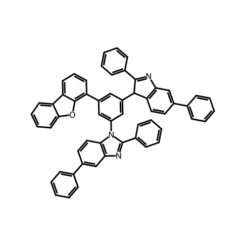 c1ccc(C2=Nc3cc(-c4ccccc4)ccc3C2c2cc(-c3cccc4c3oc3ccccc34)cc(-n3c(-c4ccccc4)nc4cc(-c5ccccc5)ccc43)c2)cc1